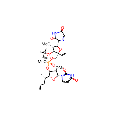 C=CC[C@H](C)[C@H]1O[C@@H](n2ccc(=O)[nH]c2=O)[C@@H](OC)C1OP(=O)(OC)OC[C@@]1(C=C)O[C@@H](C2N=CC(=O)NC2=O)[C@@H](OC)C1O[Si](C)(C)C(C)(C)C